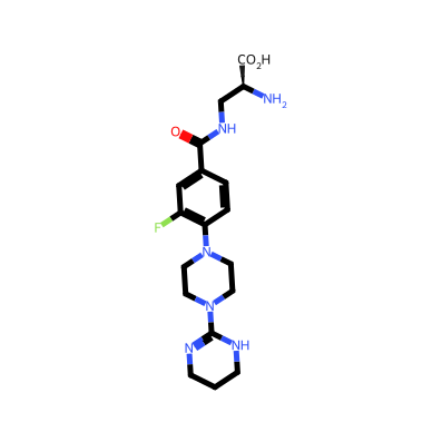 N[C@@H](CNC(=O)c1ccc(N2CCN(C3=NCCCN3)CC2)c(F)c1)C(=O)O